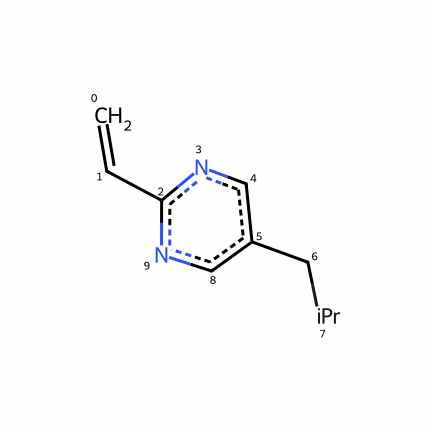 C=Cc1ncc(CC(C)C)cn1